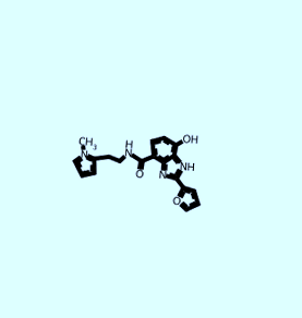 Cn1cccc1CCNC(=O)c1ccc(O)c2[nH]c(-c3ccco3)nc12